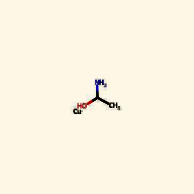 CC(N)O.[Cu]